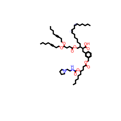 CCCCC#CCCOC(CCC(=O)OCC(CCCCC/C=C\C/C=C\CCCCC)C(Cc1cccc(COC(=O)CCC(CCCCCC)OC(=O)NCCN2CCCC2)c1)C(=O)O)OCCC#CCCCC